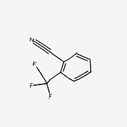 N#Cc1[c]cccc1C(F)(F)F